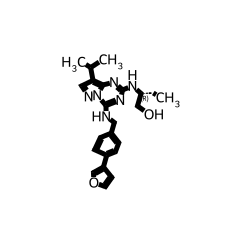 CC[C@H](CO)Nc1nc(NCc2ccc(-c3ccoc3)cc2)n2ncc(C(C)C)c2n1